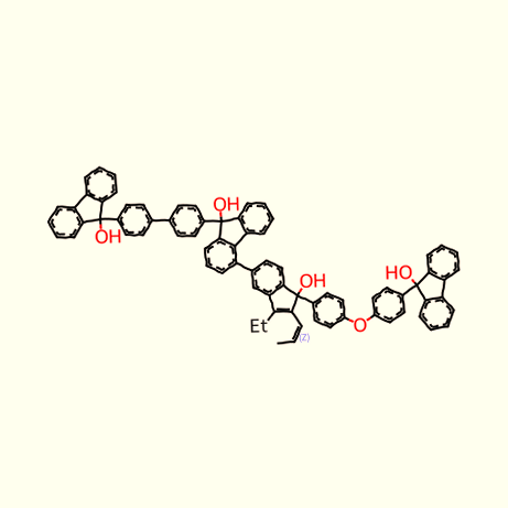 C/C=C\C1=C(CC)c2cc(-c3cccc4c3-c3ccccc3C4(O)c3ccc(-c4ccc(C5(O)c6ccccc6-c6ccccc65)cc4)cc3)ccc2C1(O)c1ccc(Oc2ccc(C3(O)c4ccccc4-c4ccccc43)cc2)cc1